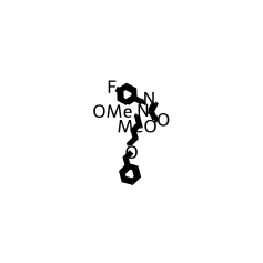 COC(=O)c1cnc(-c2ccc(F)cc2OC)n1CCCCCOCc1ccccc1